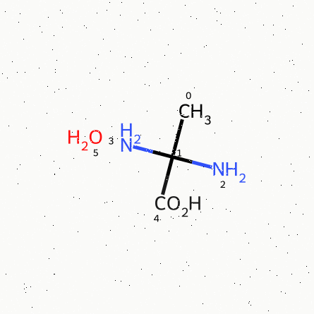 CC(N)(N)C(=O)O.O